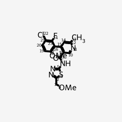 COCc1nnc(NC(=O)c2cnc(C)cc2-c2c(OC)ccc(Cl)c2F)s1